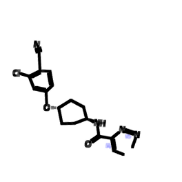 C/C=C(\N=N/C)C(=O)N[C@H]1CC[C@H](Oc2ccc(C#N)c(Cl)c2)CC1